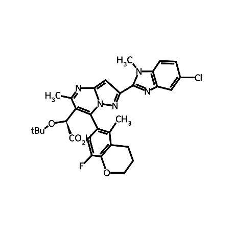 Cc1nc2cc(-c3nc4cc(Cl)ccc4n3C)nn2c(-c2cc(F)c3c(c2C)CCCO3)c1[C@H](OC(C)(C)C)C(=O)O